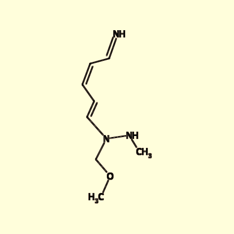 CNN(/C=C/C=C\C=N)COC